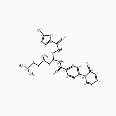 CN(C)CCN(C)CC(CNC(=O)c1ccc(Cl)s1)NC(=O)c1ccc(-n2ccccc2=O)cc1